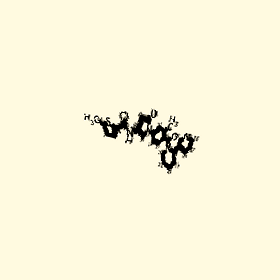 Cc1ccc(C(=O)NC2CC(=O)N(c3ccc(C(=O)N4CCCCC4c4cccnc4)c(C)c3)C2)s1